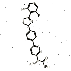 CCCN(C(=O)C(C)(C)C)c1ccc(-c2ccc(C3CCC(c4c(F)cccc4F)=N3)cc2)nn1